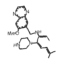 C/C=C(NCc1cc2nccnc2cc1OC)\C(=C/C=C(C)C)N1CCNCC1